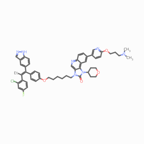 CC/C(=C(/c1ccc(OCCCCCCn2c(=O)n(C3CCOCC3)c3c4cc(-c5ccc(OCCCN(C)C)nc5)ccc4ncc32)cc1)c1ccc2[nH]ncc2c1)c1ccc(F)cc1Cl